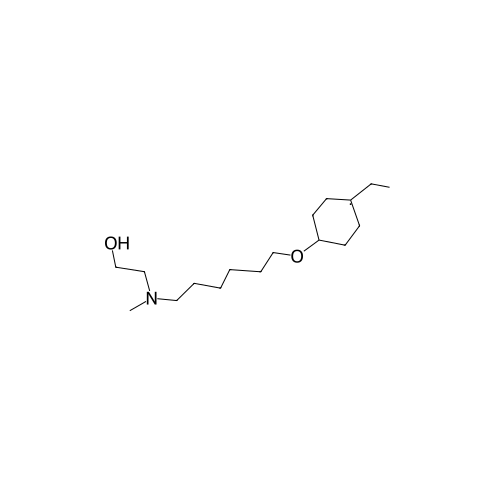 CC[C]1CCC(OCCCCCCN(C)CCO)CC1